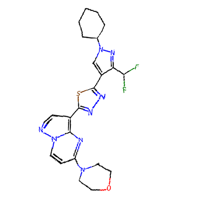 FC(F)c1nn(C2CCCCC2)cc1-c1nnc(-c2cnn3ccc(N4CCOCC4)nc23)s1